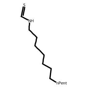 CCCCCCCCCCCCN[C]=S